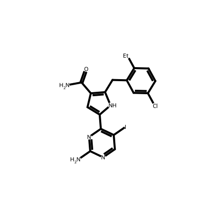 CCc1ccc(Cl)cc1Cc1[nH]c(-c2nc(N)ncc2I)cc1C(N)=O